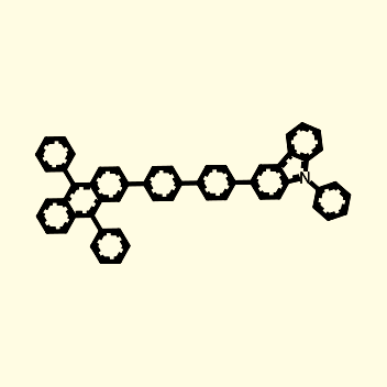 c1ccc(-c2c3ccccc3c(-c3ccccc3)c3cc(-c4ccc(-c5ccc(-c6ccc7c(c6)c6ccccc6n7-c6ccccc6)cc5)cc4)ccc23)cc1